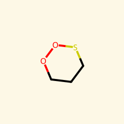 C1COOSC1